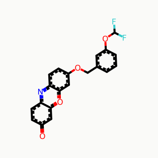 O=c1ccc2nc3ccc(OCc4cccc(OC(F)F)c4)cc3oc-2c1